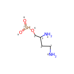 NCCC(N)CO[SH](=O)=O